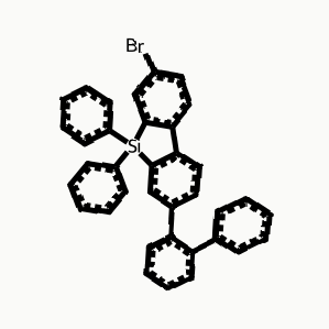 Brc1ccc2c(c1)[Si](c1ccccc1)(c1ccccc1)c1cc(-c3ccccc3-c3ccccc3)ccc1-2